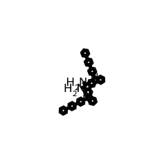 Nc1c(N)c2cc3c(cc2c2cc4c5ccccc5n(-c5ccc(-c6ccc(-c7ccccc7)cc6)cc5)c4cc12)c1ccccc1n3-c1ccc(-c2ccc(-c3ccccc3)cc2)cc1